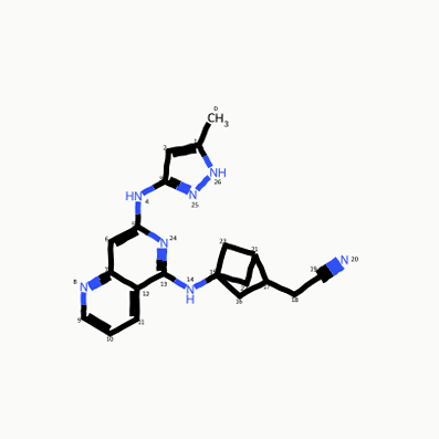 Cc1cc(Nc2cc3ncccc3c(NC34CC(CC#N)C(C3)C4)n2)n[nH]1